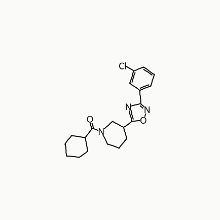 O=C(C1CCCCC1)N1CCCC(c2nc(-c3cccc(Cl)c3)no2)C1